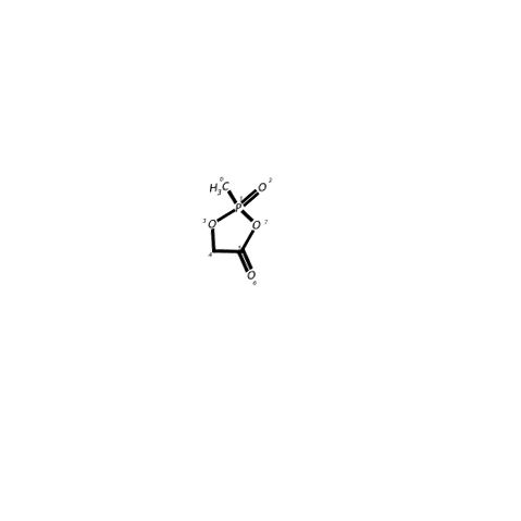 CP1(=O)OCC(=O)O1